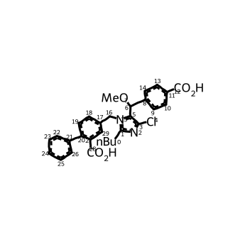 CCCCc1nc(Cl)c(C(OC)c2ccc(C(=O)O)cc2)n1Cc1ccc(-c2ccccc2)c(C(=O)O)c1